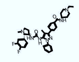 CCN1CCC(NC(=O)c2ccc(-c3nn(-c4ccccc4)c(NC(=O)N[C@@H]4CCN(C)[C@H]4c4ccc(F)c(F)c4)c3C)cc2)CC1